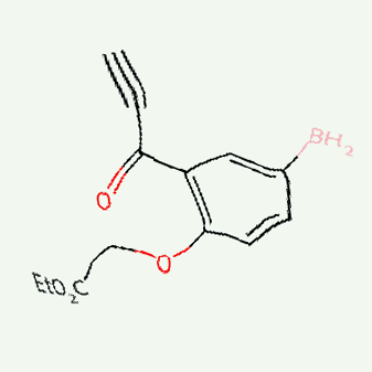 Bc1ccc(OCC(=O)OCC)c(C(=O)C#C)c1